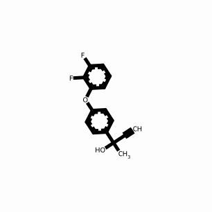 C#CC(C)(O)c1ccc(Oc2cccc(F)c2F)cc1